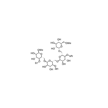 CCCO[C@H]1[C@H](O)[C@@H](O)[C@@H](OC[C@H]2O[C@H](OC[C@H]3O[C@H](OC)[C@H](O)[C@@H](O)[C@@H]3OCC)[C@H](O)[C@@H](O)[C@@H]2OCCC)O[C@@H]1CO[C@H]1O[C@H](COC)[C@@H](O)[C@H](O)[C@H]1O